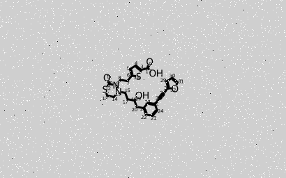 O=C(O)c1ccc(CCN2C(=O)SCCN2CCC(O)Cc2cccc(C#Cc3ccco3)c2)s1